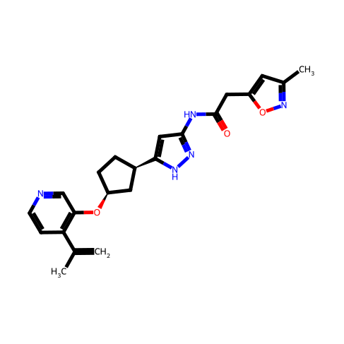 C=C(C)c1ccncc1O[C@H]1CC[C@@H](c2cc(NC(=O)Cc3cc(C)no3)n[nH]2)C1